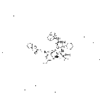 C=CCC[C@@H](NC(=O)[C@@H]1[C@@H]2[C@H](CN1C(=O)[C@@H](NC(=O)NC13CC4CC(CC(C4)C1)C3)C1CCCCC1)C2(C)C)C(=O)C(=O)NCCC(=O)OC1(C)CCCC1